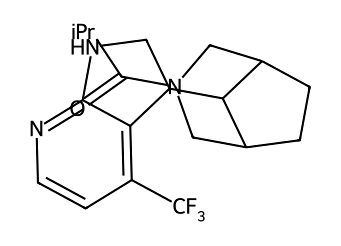 CC(C)C(=O)N1CC2CCC(C1)C2C1CNc2nccc(C(F)(F)F)c21